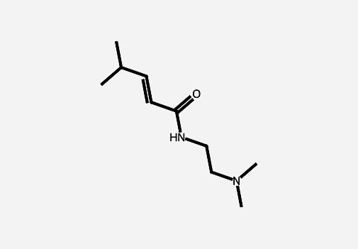 CC(C)/C=C/C(=O)NCCN(C)C